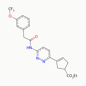 CCOC(=O)C1CC=C(c2ccc(NC(=O)Cc3cccc(OC(F)(F)F)c3)nn2)C1